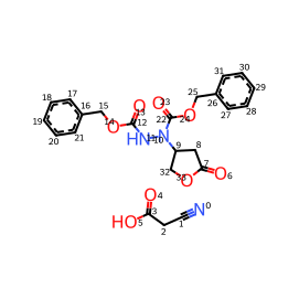 N#CCC(=O)O.O=C1CC(N(NC(=O)OCc2ccccc2)C(=O)OCc2ccccc2)CO1